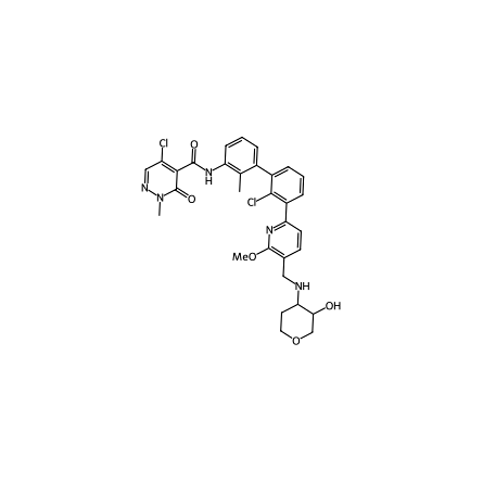 COc1nc(-c2cccc(-c3cccc(NC(=O)c4c(Cl)cnn(C)c4=O)c3C)c2Cl)ccc1CNC1CCOCC1O